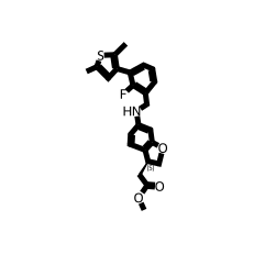 COC(=O)C[C@@H]1COc2cc(NCc3cccc(-c4cc(C)sc4C)c3F)ccc21